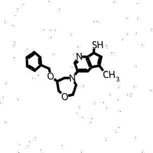 CC1=CC(S)c2ncc(N3CCOCC(OCc4ccccc4)C3)cc21